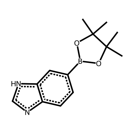 CC1(C)OB(c2ccc3nc[nH]c3c2)OC1(C)C